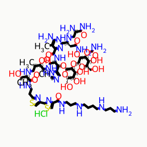 Cc1c(N)nc([C@H](CC(N)=O)NC[C@H](N)C(N)=O)nc1C(=O)N[C@H](C(=O)N[C@H](C)[C@@H](O)[C@H](C)C(=O)N[C@H](C(=O)NCCc1nc(-c2nc(C(=O)NCCCNCCCCNCCCN)cs2)cs1)[C@@H](C)O)[C@@H](O[C@@H]1O[C@@H](CO)[C@@H](O)[C@H](O)[C@@H]1O[C@H]1O[C@H](CO)[C@@H](O)[C@H](OC(N)=O)[C@@H]1O)c1cnc[nH]1.Cl